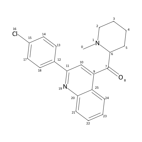 CN1CCCCC1C(=O)c1cc(-c2ccc(Cl)cc2)nc2ccccc12